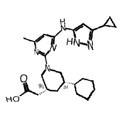 Cc1cc(Nc2cc(C3CC3)n[nH]2)nc(N2C[C@@H](CC(=O)O)C[C@@H](C3CCCCC3)C2)n1